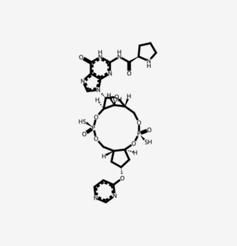 O=C(Nc1nc2c(ncn2[C@@H]2O[C@@H]3CO[P@@](=O)(S)O[C@H]4C[C@H](Oc5ccncn5)C[C@@H]4CO[P@@](=O)(S)O[C@@H]2[C@@H]3O)c(=O)[nH]1)[C@H]1CCCN1